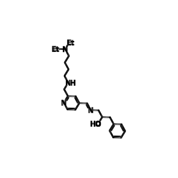 CCN(CC)CCCCNCc1cc(/C=N/CC(O)Cc2ccccc2)ccn1